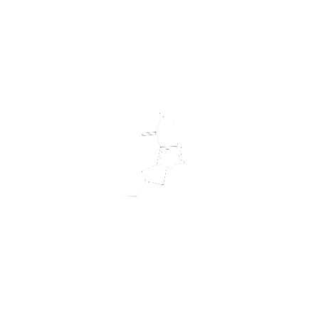 CCN1Cc2n[nH]c(C(N)=O)c2C1